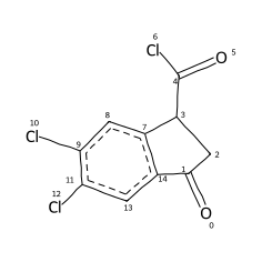 O=C1CC(C(=O)Cl)c2cc(Cl)c(Cl)cc21